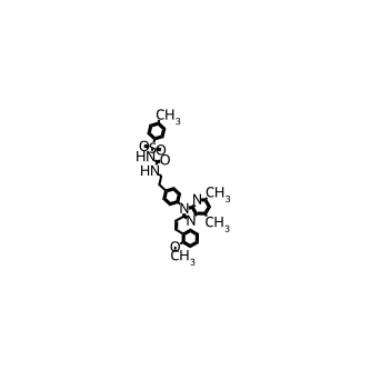 COc1ccccc1/C=C\c1nc2c(C)cc(C)nc2n1-c1ccc(CCNC(=O)NS(=O)(=O)c2ccc(C)cc2)cc1